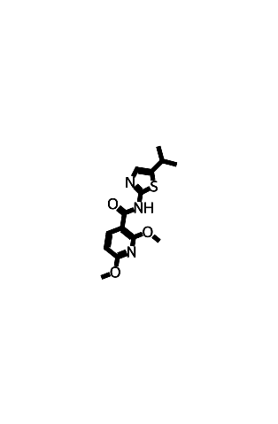 COc1ccc(C(=O)Nc2ncc(C(C)C)s2)c(OC)n1